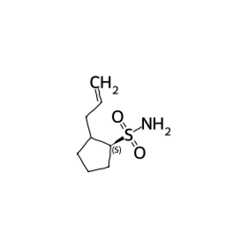 C=CCC1CCC[C@@H]1S(N)(=O)=O